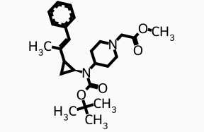 COC(=O)CN1CCC(N(C(=O)OC(C)(C)C)[C@H]2CC2C(C)=Cc2ccccc2)CC1